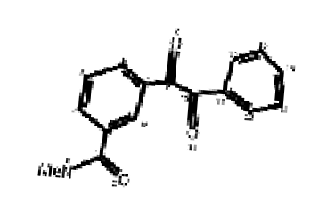 CNC(=O)c1cccc(C(=O)C(=O)c2ccccc2)c1